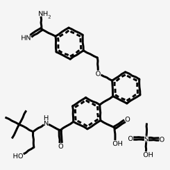 CC(C)(C)C(CO)NC(=O)c1ccc(-c2ccccc2OCc2ccc(C(=N)N)cc2)c(C(=O)O)c1.CS(=O)(=O)O